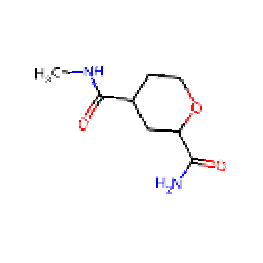 CNC(=O)[C]1CCOC(C(N)=O)C1